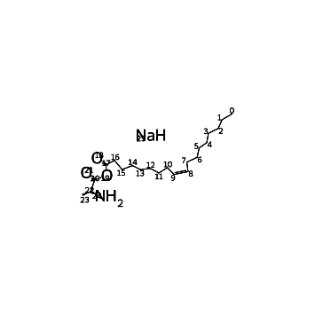 CCCCCCCC/C=C\CCCCCCCC(=O)OC(=O)[C@H](C)N.[NaH]